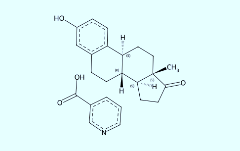 C[C@]12CC[C@@H]3c4ccc(O)cc4CC[C@H]3[C@@H]1CCC2=O.O=C(O)c1cccnc1